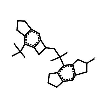 CC(C)(C)c1c2c(cc3c1CC3CC(C)(C)c1c3c(cc4c1CC(F)C4)CCC3)CCC2